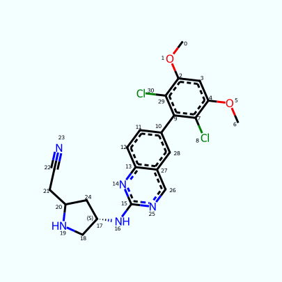 COc1cc(OC)c(Cl)c(-c2ccc3nc(N[C@@H]4CNC(CC#N)C4)ncc3c2)c1Cl